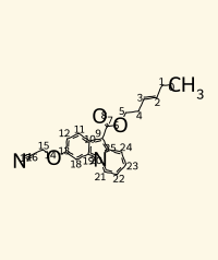 CCC=CCCOC(=O)c1c2ccc(OCC#N)cc2n2ccccc12